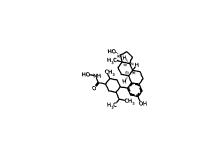 CC(C)C1CC(C(=O)NO)C(C)CC1c1cc(O)cc2c1[C@H]1CC[C@]3(C)[C@H](O)CC[C@H]3[C@@H]1CC2